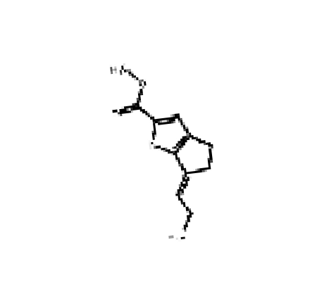 CC/C=C1\CCc2cc(C(=O)OC)[nH]c21